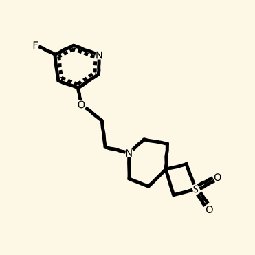 O=S1(=O)CC2(CCN(CCOc3cncc(F)c3)CC2)C1